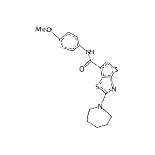 COc1ccc(NC(=O)c2csc3nc(N4CCCCC4)sc23)cc1